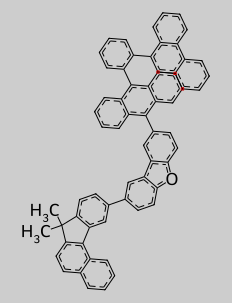 CC1(C)c2ccc(-c3ccc4oc5ccc(-c6c7ccccc7c(-c7ccccc7-c7cc8ccccc8c8ccccc78)c7ccccc67)cc5c4c3)cc2-c2c1ccc1ccccc21